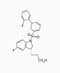 O=C(O)CC[C@H]1CN(S(=O)(=O)C2=CC=CC(c3ccccc3F)C2)c2ccc(F)cc21